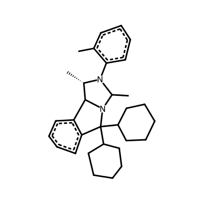 Cc1ccccc1N1C(C)N2C(c3ccccc3C2(C2CCCCC2)C2CCCCC2)[C@@H]1C